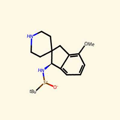 [CH2]C(C)(C)[S+]([O-])N[C@@H]1c2cccc(OC)c2CC12CCNCC2